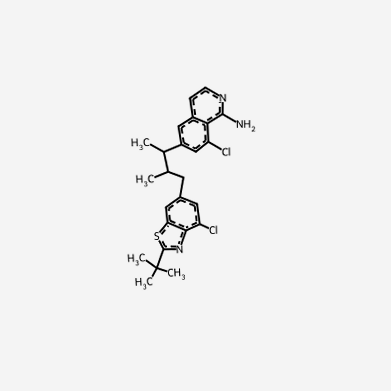 CC(Cc1cc(Cl)c2nc(C(C)(C)C)sc2c1)C(C)c1cc(Cl)c2c(N)nccc2c1